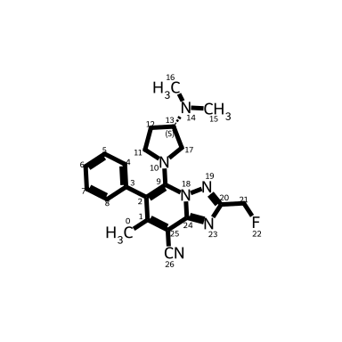 Cc1c(-c2ccccc2)c(N2CC[C@H](N(C)C)C2)n2nc(CF)nc2c1C#N